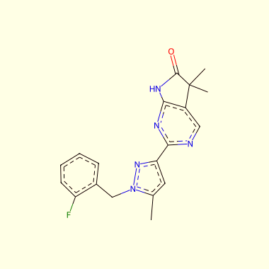 Cc1cc(-c2ncc3c(n2)NC(=O)C3(C)C)nn1Cc1ccccc1F